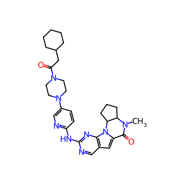 CN1C(=O)c2cc3cnc(Nc4ccc(N5CCN(C(=O)CC6CCCCC6)CC5)cn4)nc3n2C2CCCC21